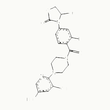 CCC1COC(=O)N1c1ccc(C(=O)N2CCN(c3ncc(C)cc3C)CC2)c(F)c1